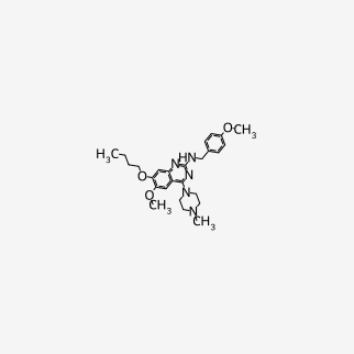 CCCCOc1cc2nc(NCc3ccc(OC)cc3)nc(N3CCN(C)CC3)c2cc1OC